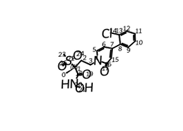 C[C@@](CCn1ccc(-c2ccccc2Cl)cc1=O)(C(=O)NO)S(C)(=O)=O